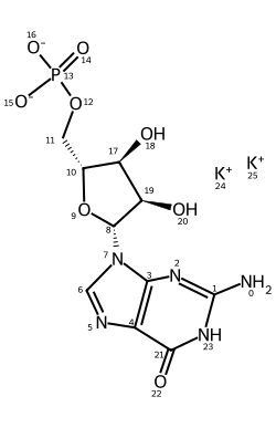 Nc1nc2c(ncn2[C@@H]2O[C@H](COP(=O)([O-])[O-])[C@@H](O)[C@H]2O)c(=O)[nH]1.[K+].[K+]